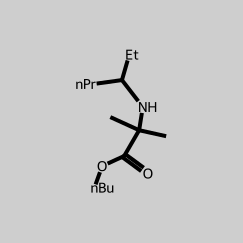 CCCCOC(=O)C(C)(C)NC(CC)CCC